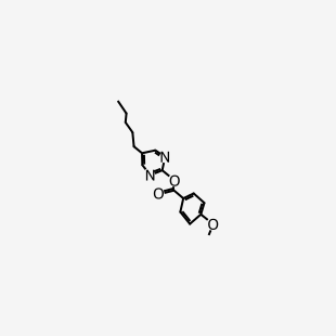 CCCCCc1cnc(OC(=O)c2ccc(OC)cc2)nc1